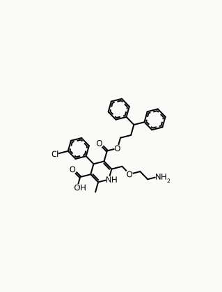 CC1=C(C(=O)O)C(c2cccc(Cl)c2)C(C(=O)OCCC(c2ccccc2)c2ccccc2)=C(COCCN)N1